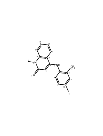 Cn1c(=O)cc(Nc2ccc(F)cc2C(F)(F)F)c2ccncc21